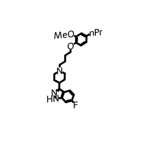 C[CH]Cc1ccc(OCCCCN2CCC(c3n[nH]c4cc(F)ccc34)CC2)c(OC)c1